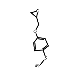 CC(C)Sc1ccc(OCC2CO2)cc1